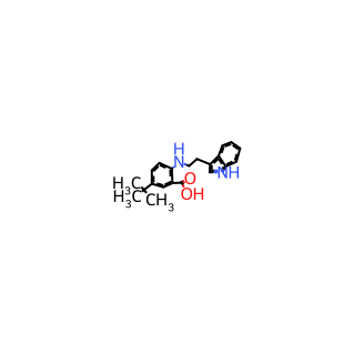 CC(C)(C)c1ccc(NCCc2c[nH]c3ccccc23)c(C(=O)O)c1